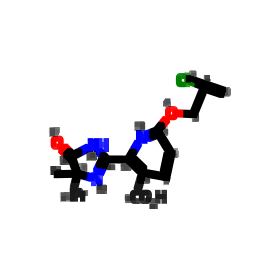 C=C(Cl)COc1ccc(C(=O)O)c(C2=NC(C)(C(C)C)C(=O)N2)n1